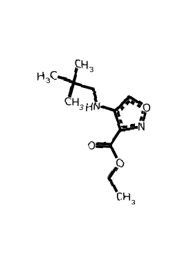 CCOC(=O)c1nocc1NCC(C)(C)C